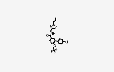 CCCc1nc(CNC(=O)c2cnc(OCC(F)(F)F)c(-c3ccc(Cl)cc3)c2)cs1